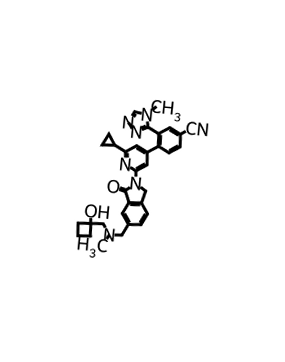 CN(Cc1ccc2c(c1)C(=O)N(c1cc(-c3ccc(C#N)cc3-c3nncn3C)cc(C3CC3)n1)C2)CC1(O)CCC1